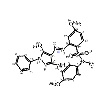 CCN(c1ccc(OC)cc1)S(=O)(=O)c1ccc(OC)cc1/N=N/c1c(N)nn(-c2ccccc2)c1O